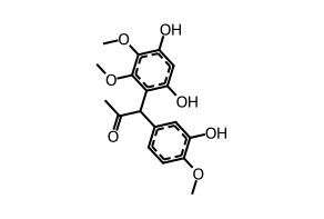 COc1ccc(C(C(C)=O)c2c(O)cc(O)c(OC)c2OC)cc1O